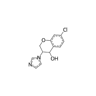 OC1c2ccc(Cl)cc2OCC1n1ccnc1